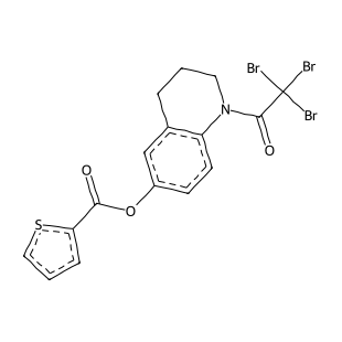 O=C(Oc1ccc2c(c1)CCCN2C(=O)C(Br)(Br)Br)c1cccs1